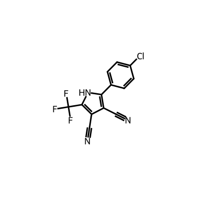 N#Cc1c(-c2ccc(Cl)cc2)[nH]c(C(F)(F)F)c1C#N